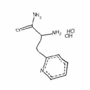 Cl.Cl.NC(=O)C(N)Cc1ccccn1